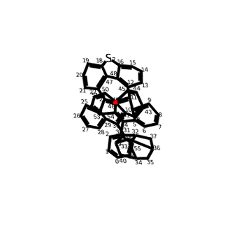 c1ccc(-c2c3ccccc3c(-c3cccc4sc5cccc(-c6c7ccccc7c(C7C8CC9CC(C8)CC7C9)c7ccccc67)c5c34)c3ccccc23)cc1